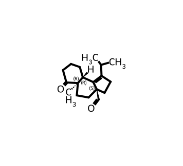 CC(C)C1=C2[C@H]3CCCC(=O)[C@]3(C)CC[C@@]2(C=O)CC1